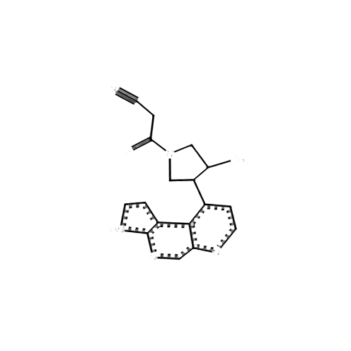 CC1CN(C(=O)CC#N)CC1c1ccnc2cnc3[nH]ccc3c12